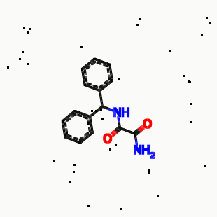 NC(=O)C(=O)NC(c1ccccc1)c1ccccc1